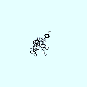 COCC(=O)N[C@@H](C)CNc1nccc(-c2[nH]c(-c3ccc(F)cc3)nc2-c2cnc(N)c(OC)n2)n1